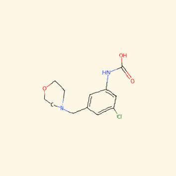 O=C(O)Nc1cc(Cl)cc(CN2CCOCC2)c1